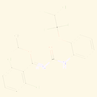 CC(C)O/C(=N\C(=O)Nc1ccccc1OC(F)(F)C(Cl)Cl)c1c(Cl)cccc1Cl